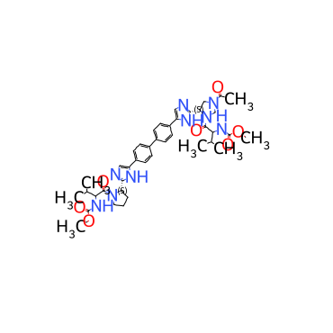 COC(=O)NC(C(=O)N1CCC[C@H]1c1ncc(-c2ccc(-c3ccc(-c4cnc([C@@H]5CN(C(C)=O)CN5C(=O)C(NC(=O)OC)C(C)C)[nH]4)cc3)cc2)[nH]1)C(C)C